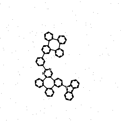 c1cc(-c2ccc3c(c2)-c2ccccc2-c2ccccc2-c2ccccc2-3)cc(-c2ncc3c(n2)-c2ccccc2-c2ccccc2-c2cc(-n4c5ccccc5c5ccccc54)ccc2-3)c1